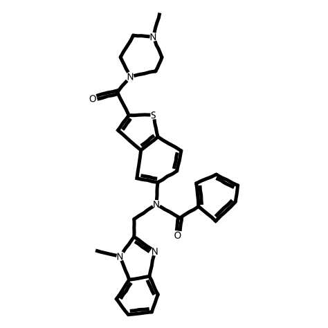 CN1CCN(C(=O)c2cc3cc(N(Cc4nc5ccccc5n4C)C(=O)c4ccccc4)ccc3s2)CC1